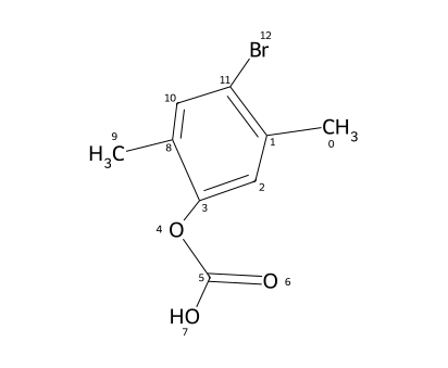 Cc1cc(OC(=O)O)c(C)cc1Br